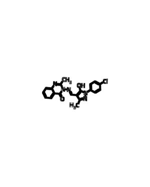 Cc1nn(-c2ccc(Cl)cc2)c(O)c1C=Nn1c(C)nc2ccccc2c1=O